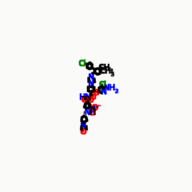 CC1(C)CCC(CN2CCN(c3ccc(C(=O)NS(=O)(=O)c4ccc(NC[C@H]5CC[C@H](N6CCOCC6)CC5)c([N+](=O)[O-])c4)c(Oc4cnc(N)c(Cl)c4)c3)CC2)=C(c2ccc(Cl)cc2)C1